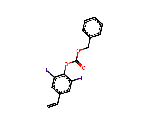 C=Cc1cc(I)c(OC(=O)OCc2ccccc2)c(I)c1